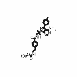 CC1=CCC(c2nn(C(C)(C)CNC(=O)c3ccc(CCNC(=O)OC(C)(C)C)cc3)c3ncnc(N)c23)C=C1